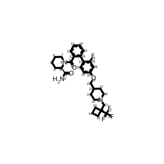 NC(=O)[C@H]1CCCCN1C(=O)c1ccccc1-c1ccc(OCC2CCN(CC3(C(F)(F)F)CCC3)CC2)cc1F